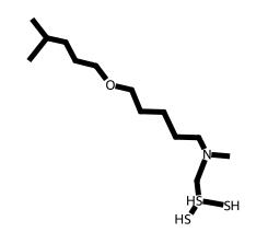 CC(C)CCCOCCCCCN(C)C[SH](S)S